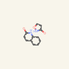 O=c1ccc2ccccc2[nH]1.O=c1cco[nH]1